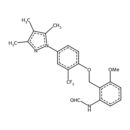 COc1cccc(NC=O)c1COc1ccc(-n2nc(C)c(C)c2C)cc1C(F)(F)F